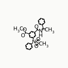 COC(=O)c1cc(C(=O)N[C@H](C)c2ccccc2)cc(N(c2ccccc2)S(C)(=O)=O)c1